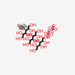 O=P([O-])([O-])[O-].O=P([O-])([O-])[O-].OC[C@@H](O)[C@@H](O)[C@H](O)[C@H](O)CO.OC[C@@H](O)[C@@H](O)[C@H](O)[C@H](O)CO.OC[C@@H](O)[C@@H](O)[C@H](O)[C@H](O)CO.[Ca+2].[Ca+2].[Ca+2]